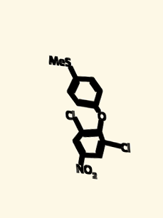 CSc1ccc(Oc2c(Cl)cc([N+](=O)[O-])cc2Cl)cc1